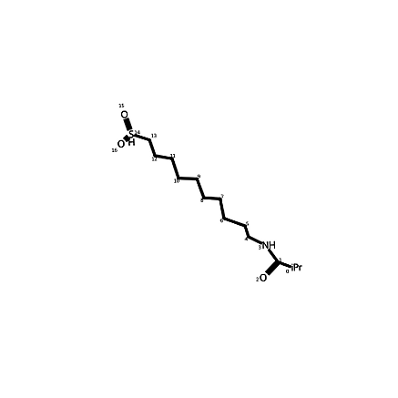 CC(C)C(=O)NCCCCCCCCCC[SH](=O)=O